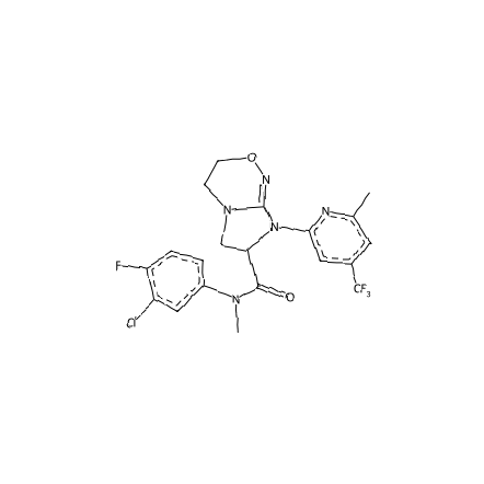 Cc1cc(C(F)(F)F)cc(N2C3=NOCCN3CC2C(=O)N(C)c2ccc(F)c(Cl)c2)n1